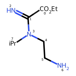 CCOC(=O)C(=N)N(CCN)C(C)C